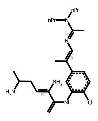 C=C(Nc1cc(/C(C)=C/N=C(\C)N(CCC)CCC)ccc1Cl)/C(N)=C/CC(C)N